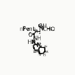 CCCCC[C@H](CN(O)C=O)C(=O)NNc1ccc2ccccc2n1